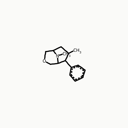 CC1CC2COCC(C1c1ccccc1)N2C